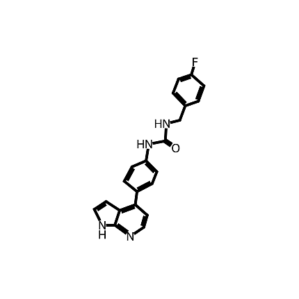 O=C(NCc1ccc(F)cc1)Nc1ccc(-c2ccnc3[nH]ccc23)cc1